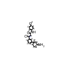 COc1ccc(NC(=O)/C=C(\Cl)c2cccc(C3(C)CCSC(N)=N3)c2)cc1